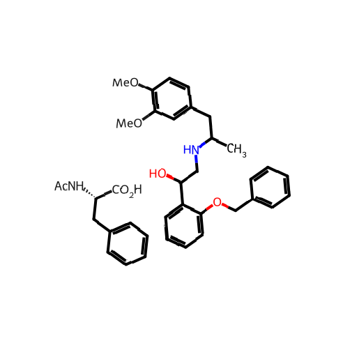 CC(=O)N[C@@H](Cc1ccccc1)C(=O)O.COc1ccc(CC(C)NCC(O)c2ccccc2OCc2ccccc2)cc1OC